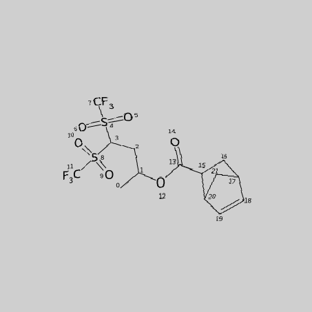 CC(CC(S(=O)(=O)C(F)(F)F)S(=O)(=O)C(F)(F)F)OC(=O)C1CC2C=CC1C2